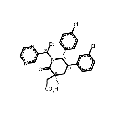 CC[C@H](c1cnccn1)N1C(=O)[C@](C)(CC(=O)O)C[C@H](c2cccc(Cl)c2)[C@H]1c1ccc(Cl)cc1